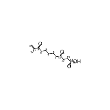 C=C(C)C(=O)CCCCCC(=O)CCC(=O)O